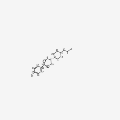 CCCC1CCC([C@H]2CO[C@H](c3ccc(C)cc3)OC2)CC1